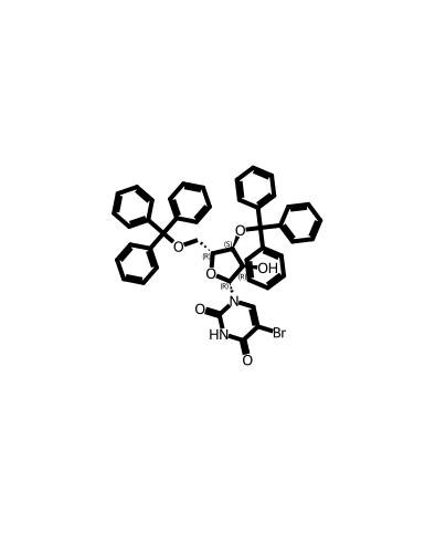 O=c1[nH]c(=O)n([C@@H]2O[C@H](COC(c3ccccc3)(c3ccccc3)c3ccccc3)[C@@H](OC(c3ccccc3)(c3ccccc3)c3ccccc3)[C@H]2O)cc1Br